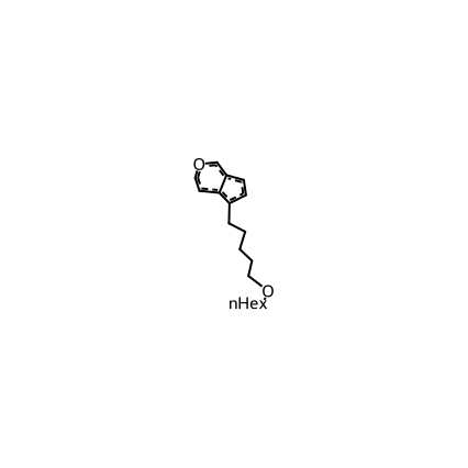 [CH2]CCCCCOCCCCCc1ccc2coccc1-2